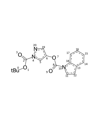 CC(C)(C)OC(=O)n1cc(OC(=O)n2ccc3ccccc32)cn1